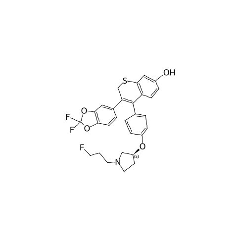 Oc1ccc2c(c1)SCC(c1ccc3c(c1)OC(F)(F)O3)=C2c1ccc(O[C@H]2CCN(CCCF)C2)cc1